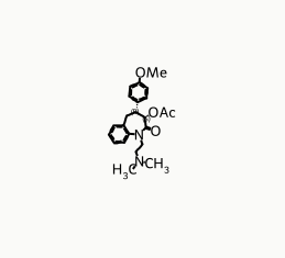 COc1ccc([C@H]2Cc3ccccc3N(CCN(C)C)C(=O)[C@H]2OC(C)=O)cc1